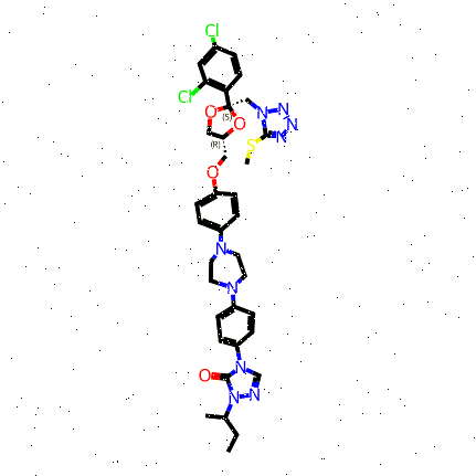 CCC(C)n1ncn(-c2ccc(N3CCN(c4ccc(OC[C@@H]5CO[C@@](Cn6nnnc6SC)(c6ccc(Cl)cc6Cl)O5)cc4)CC3)cc2)c1=O